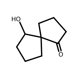 O=C1CCCC12CCCC2O